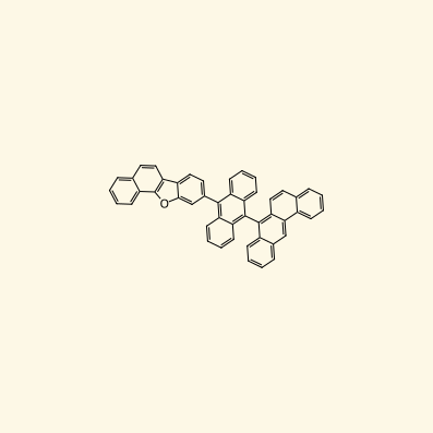 c1ccc2c(-c3c4ccccc4c(-c4ccc5c(c4)oc4c6ccccc6ccc54)c4ccccc34)c3ccc4ccccc4c3cc2c1